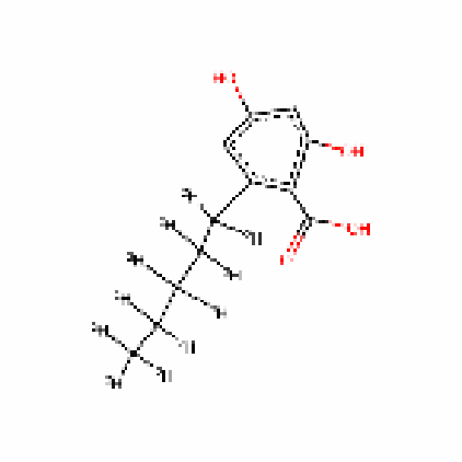 [2H]C([2H])([2H])C([2H])([2H])C([2H])([2H])C([2H])([2H])C([2H])([2H])c1cc(O)cc(O)c1C(=O)O